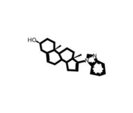 C[C@]12CC[C@H](O)CC1=CCC1C2CC[C@]2(C)C(n3cnc4ccccc43)=CCC12